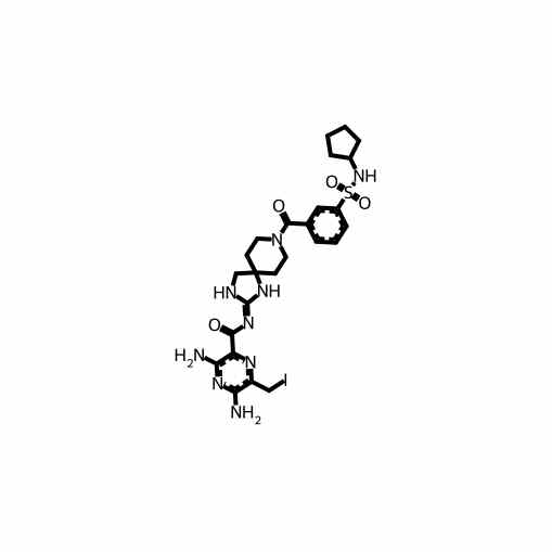 Nc1nc(N)c(C(=O)/N=C2\NCC3(CCN(C(=O)c4cccc(S(=O)(=O)NC5CCCC5)c4)CC3)N2)nc1CI